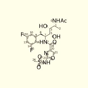 CC(=O)N[C@H](C)[C@@H](O)[C@H](O)[C@H](Cc1cc(F)cc(F)c1)NC(=O)c1coc(NS(C)(=O)=O)n1